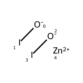 [O-]I.[O-]I.[Zn+2]